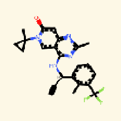 C#C[C@@H](Nc1nc(C)nc2cc(=O)n(C3(C)CC3)cc12)c1cccc(C(F)(F)F)c1C